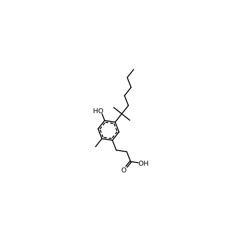 CCCCCC(C)(C)c1cc(CCC(=O)O)c(C)cc1O